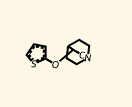 c1csc(OC2CN3CCC2CC3)c1